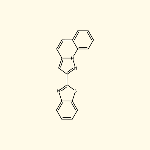 c1ccc2c(c1)ccc1cc(-c3nc4ccccc4s3)nn12